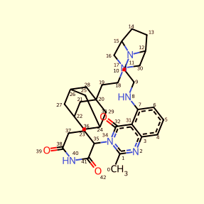 Cc1nc2cccc(NCCN3C4CCC3CN(CCC35CC6CC(CC(C6)C3)C5)C4)c2c(=O)n1C1CCC(=O)NC1=O